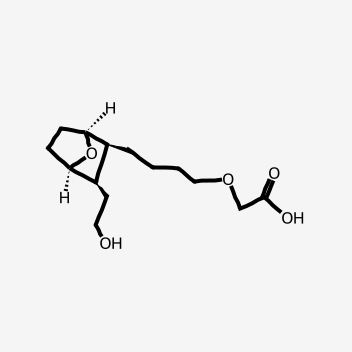 O=C(O)COCCCC[C@H]1[C@@H](CCO)[C@H]2CC[C@@H]1O2